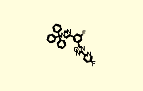 Fc1ccc(-c2noc(-c3cc(F)cc(-c4cn(C(c5ccccc5)(c5ccccc5)c5ccccc5)cn4)c3)n2)nc1